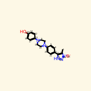 Cc1c(-c2ccc(N3CCN(c4ccc(O)cc4)CC3)cc2)[nH]n[n+]1[O-]